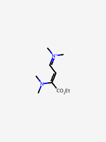 CCOC(=O)C(=CC=[N+](C)C)N(C)C